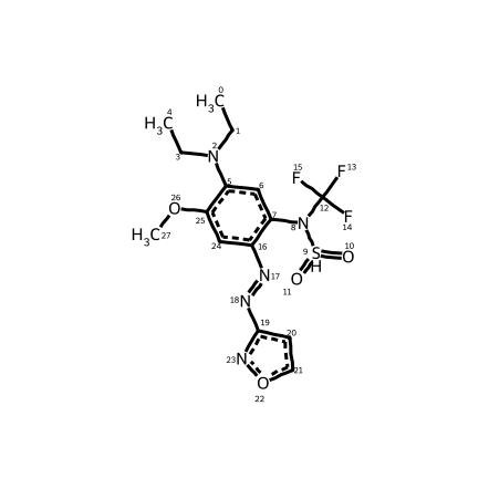 CCN(CC)c1cc(N([SH](=O)=O)C(F)(F)F)c(N=Nc2ccon2)cc1OC